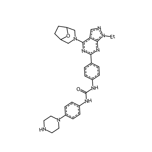 CCn1ncc2c(N3CC4CCC(C3)O4)nc(-c3ccc(NC(=O)Nc4ccc(N5CCNCC5)cc4)cc3)nc21